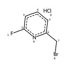 Cl.Fc1cccc(CBr)n1